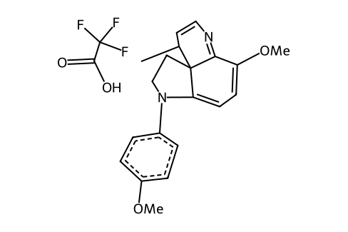 COC1=CC=C2N(c3ccc(OC)cc3)CCC23C1=NC=CC3C.O=C(O)C(F)(F)F